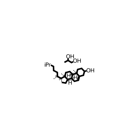 CC(C)CCC[C@@H](C)[C@H]1CC[C@H]2[C@@H]3CC=C4CC(O)CC[C@]4(C)[C@H]3CC[C@]12C.CC(O)CO